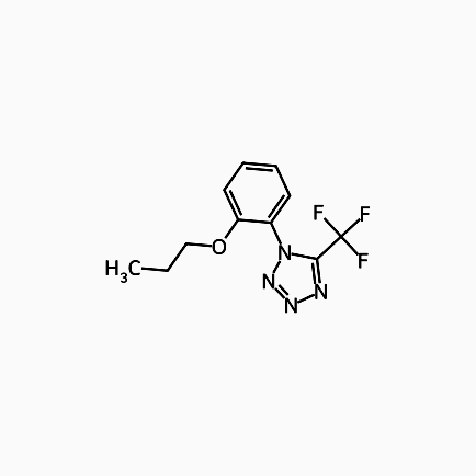 CCCOc1ccccc1-n1nnnc1C(F)(F)F